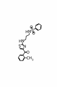 Cc1ccccc1C(=O)c1csc(NCCCNS(=O)(=O)c2ccccc2)n1